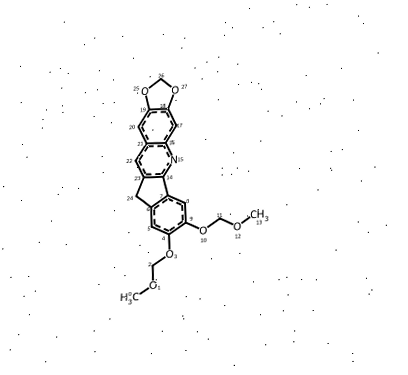 COCOc1cc2c(cc1OCOC)-c1nc3cc4c(cc3cc1C2)OCO4